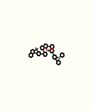 CC1(C)c2cc(-c3cccc(N(c4cccc(-c5ccc6c7ccccc7n(-c7ccccc7)c6c5)c4)c4ccccc4-c4ccccc4)c3-c3ccccc3)ccc2-c2c1ccc1ccccc21